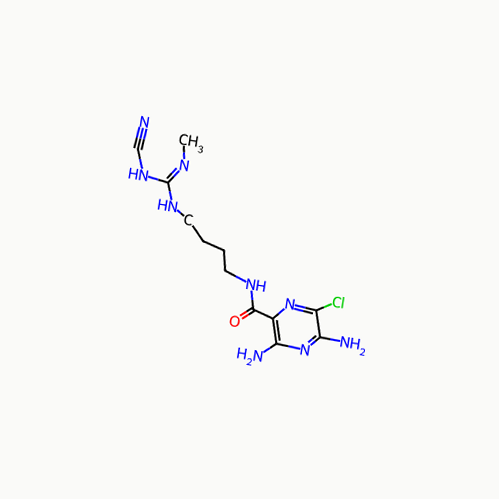 CN=C(NC#N)NCCCCNC(=O)c1nc(Cl)c(N)nc1N